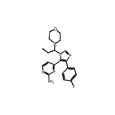 CCC(N1CCOCC1)n1cnc(-c2ccc(F)cc2)c1-c1ccnc(N)n1